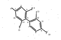 Cc1cc(F)c(-c2ccc(F)cc2I)c(F)c1